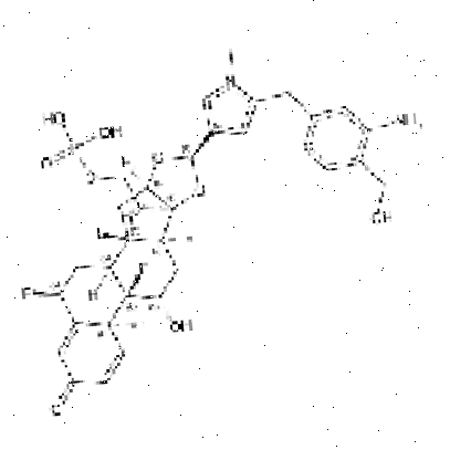 Cn1cc([C@@H]2O[C@@H]3C[C@H]4[C@@H]5C[C@H](F)C6=CC(=O)C=C[C@]6(C)[C@@]5(F)[C@@H](O)C[C@]4(C)[C@]3(C(=O)COP(=O)(O)O)O2)cc1Cc1ccc(CO)c(N)c1